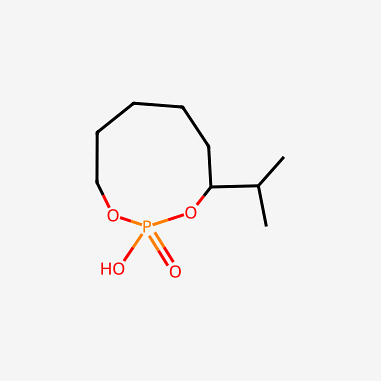 CC(C)C1CCCCCOP(=O)(O)O1